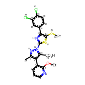 CCOc1ncccc1-c1c(C)nn(-c2nc(-c3ccc(Cl)c(Cl)c3)c(SC(C)C)s2)c1C(=O)O